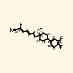 COC1(CCC=CC=C(F)C#N)CCC(c2ccc(F)c(F)c2)CC1